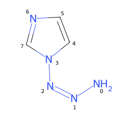 N/N=N\n1ccnc1